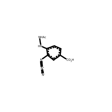 CC(=O)NNc1ccc(C(=O)O)cc1N=[N+]=[N-]